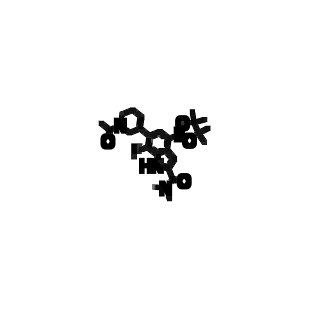 CC(=O)N1CCC=C(c2cc(B3OC(C)(C)C(C)(C)O3)c3cc(C(=O)N(C)C)[nH]c3c2F)C1